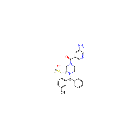 C[S@+]([O-])C[C@@H]1CN(C(=O)c2cncc(N)c2)CCN1[C@H](c1ccccc1)c1cccc(C#N)c1